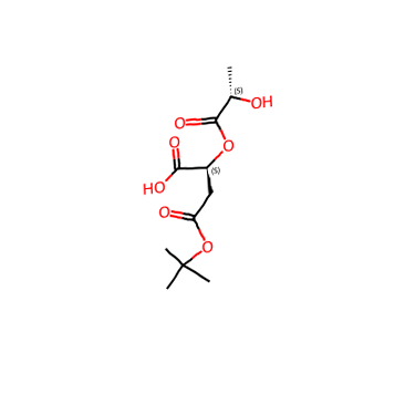 C[C@H](O)C(=O)O[C@@H](CC(=O)OC(C)(C)C)C(=O)O